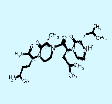 CC(C)C[C@@H]1NCCN([C@@H](CC(C)C)C(=O)N2CCN([C@@H](CCC(N)O)C(N)=O)C(=O)[C@@H]2C)C1=O